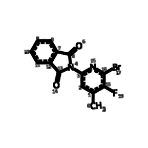 Cc1cc(N2C(=O)c3ccccc3C2=O)nc(Br)c1F